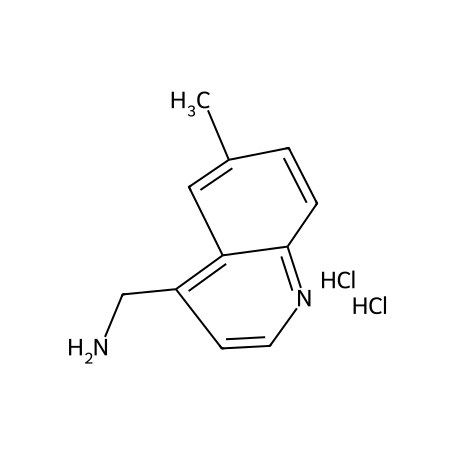 Cc1ccc2nccc(CN)c2c1.Cl.Cl